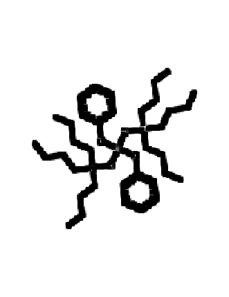 CCCC[Si](CCCC)(CCCC)[O][Ti]([O]c1ccccc1)([O]c1ccccc1)[O][Si](CCCC)(CCCC)CCCC